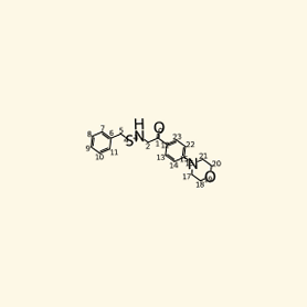 O=C(CNSCc1ccccc1)c1ccc(N2CCOCC2)cc1